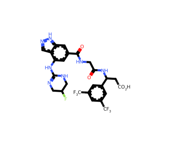 O=C(O)CC(NC(=O)CNC(=O)c1cc(NC2=NCC(F)CN2)c2cn[nH]c2c1)c1cc(C(F)(F)F)cc(C(F)(F)F)c1